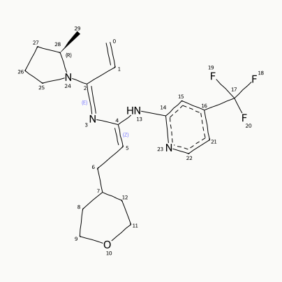 C=C/C(=N\C(=C/CC1CCOCC1)Nc1cc(C(F)(F)F)ccn1)N1CCC[C@H]1C